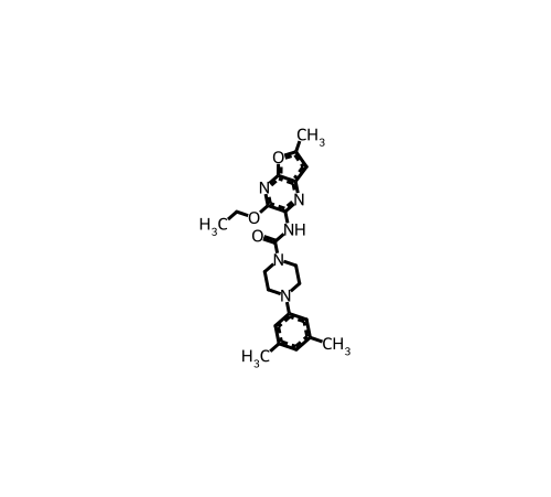 CCOc1nc2oc(C)cc2nc1NC(=O)N1CCN(c2cc(C)cc(C)c2)CC1